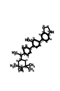 CN(c1ncc(-c2ccc(-c3ccc4c(c3)OCN4)cc2O)nn1)C1CC(C)(C)NC(C)(C)C1